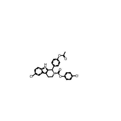 CC(=O)Oc1ccc(C2c3[nH]c4ccc(Cl)cc4c3CCN2C(=O)Oc2ccc(Cl)cc2)cc1